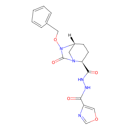 O=C(NNC(=O)[C@@H]1CC[C@@H]2CN1C(=O)N2OCc1ccccc1)c1cocn1